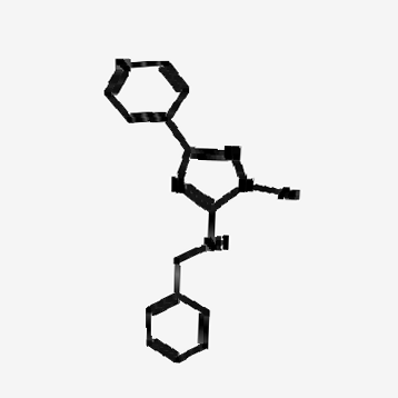 CC(=O)n1nc(-c2ccncc2)nc1NCc1ccccc1